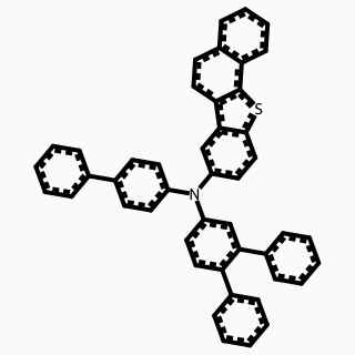 c1ccc(-c2ccc(N(c3ccc(-c4ccccc4)c(-c4ccccc4)c3)c3ccc4sc5c6ccccc6ccc5c4c3)cc2)cc1